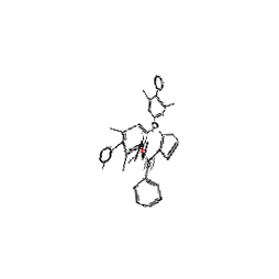 COc1c(C)cc(P(C2=C([C@H](c3ccccc3)N(C)C)C=CC2)c2cc(C)c(OC)c(C)c2)cc1C